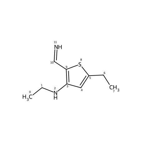 CCNc1cc(CC)sc1C=N